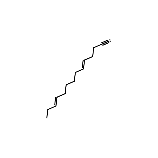 CCC=CCCCCC=CCCC#N